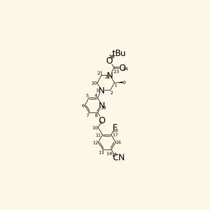 C[C@H]1CN(c2cccc(OCc3ccc(C#N)cc3F)n2)CCN1C(=O)OC(C)(C)C